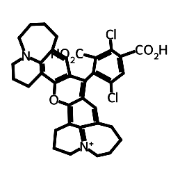 O=C(O)c1cc(Cl)c(C2=c3cc4c5c(c3Oc3c2cc2c6c3CCCN6CCCC2)CCC[N+]=5CCCC4)c(C(=O)O)c1Cl